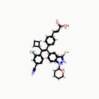 N#Cc1ccc(/C(=C(/c2ccc(C=CC(=O)O)cc2)c2ccc3c(c2)c(F)nn3C2CCCCO2)C2CCC2)c(Cl)c1